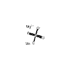 O=S(=O)([O-])[O-].[Mg+2].[Mo]